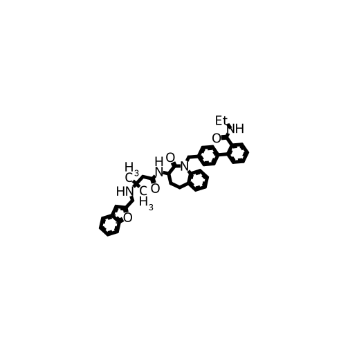 CCNC(=O)c1ccccc1-c1ccc(CN2C(=O)C(NC(=O)CC(C)(C)NCc3cc4ccccc4o3)CCc3ccccc32)cc1